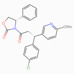 COc1ccc([C@@H](CC(=O)N2C(=O)OC[C@@H]2c2ccccc2)c2ccc(Cl)cc2)cn1